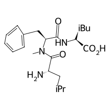 CC[C@H](C)[C@H](NC(=O)[C@H](Cc1ccccc1)N(C)C(=O)[C@@H](N)CC(C)C)C(=O)O